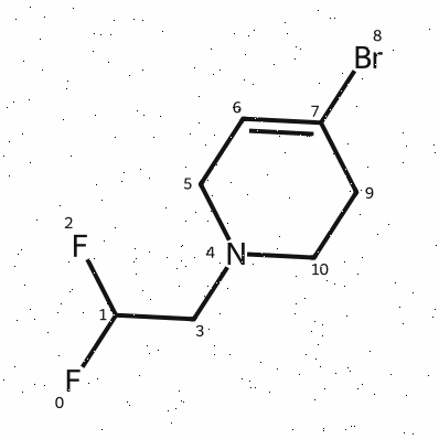 FC(F)CN1CC=C(Br)CC1